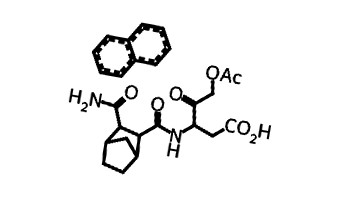 CC(=O)OCC(=O)C(CC(=O)O)NC(=O)C1C2CCC(C2)C1C(N)=O.c1ccc2ccccc2c1